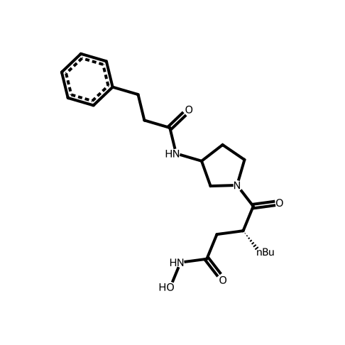 CCCC[C@H](CC(=O)NO)C(=O)N1CCC(NC(=O)CCc2ccccc2)C1